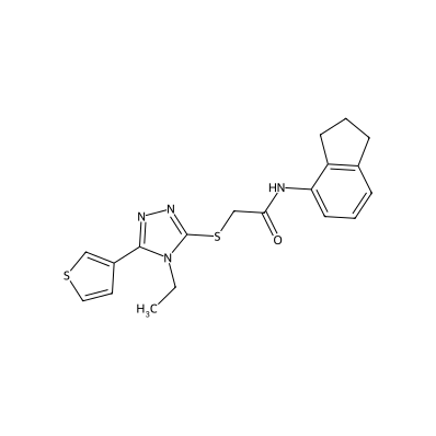 CCn1c(SCC(=O)Nc2cccc3c2CCC3)nnc1-c1ccsc1